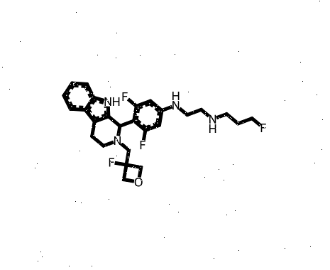 FCCCNCCNc1cc(F)c(C2c3[nH]c4ccccc4c3CCN2CC2(F)COC2)c(F)c1